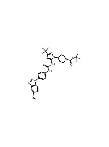 COc1ccc2c(c1)ncn2-c1ccc(NC(=O)Nc2cc(C(C)(C)C)nn2C2CCN(C(=O)OC(C)(C)C)CC2)cc1